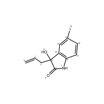 C=CCC1(O)C(=O)Nc2ccc(I)cc21